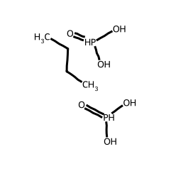 CCCC.O=[PH](O)O.O=[PH](O)O